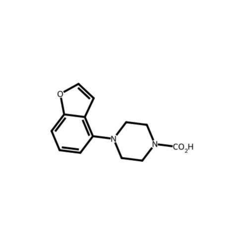 O=C(O)N1CCN(c2cccc3occc23)CC1